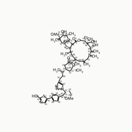 CC[C@H]1OC(=O)[C@H](C)[C@@H](O[C@H]2C[C@@](C)(OC)[C@@H](O)[C@H](C)O2)[C@H](C)[C@@H](O[C@H]2C[C@@H](N(C)CCc3cn([C@H](CF)[C@H](OC)c4ccc(-c5cnc(O)s5)cc4)nn3)C[C@@H](C)O2)[C@](C)(O)C[C@@H](C)CN(C)[C@H](C)[C@@H](O)[C@]1(C)O